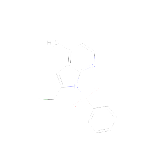 Bc1ccnc2c1cc(CF)n2S(=O)(=O)c1ccccc1